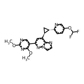 COc1ncc(-c2cc([C@H]3C[C@@H]3c3ccc(OC(F)F)cn3)c3nccn3n2)c(OC)n1